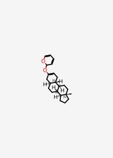 C[C@@]12CCC[C@H]1[C@@H]1CC[C@H]3CC(OC4C=CC=CO4)=CC[C@@H]3[C@H]1CC2